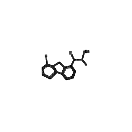 CCCCC(C)C(F)c1cccc2c1Cc1c(F)cccc1-2